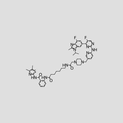 Cc1nc(NC(=O)c2ccccc2NC(=O)CCCCCCNC(=O)CN2CCN(Cc3ccc(Nc4ncc(F)c(-c5cc(F)c6nc(C)n(C(C)C)c6c5)n4)nc3)CC2)sc1C